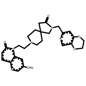 COc1cnc2ccc(=O)n(CCN3CCC4(CC3)CC(=O)N(Cc3cc5c(cn3)OCCO5)C4)c2c1